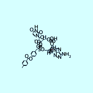 CO[C@@H]1[C@@H]2O[P@@](=O)(SCc3ccc(OC(=O)c4ccc(C)cc4)cc3)OC[C@H]3O[C@@H](n4cnc5c(N)ncnc54)[C@H](OP(=O)(O)OC[C@H]2O[C@H]1n1ccc(=O)[nH]c1=O)[C@@H]3F